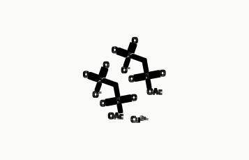 CC(=O)OS(=O)(=O)CS(=O)(=O)[O-].CC(=O)OS(=O)(=O)CS(=O)(=O)[O-].[Cu+2]